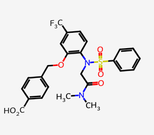 CN(C)C(=O)CN(c1ccc(C(F)(F)F)cc1OCc1ccc(C(=O)O)cc1)S(=O)(=O)c1ccccc1